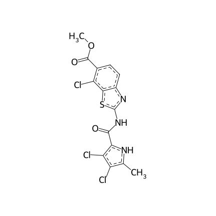 COC(=O)c1ccc2nc(NC(=O)c3[nH]c(C)c(Cl)c3Cl)sc2c1Cl